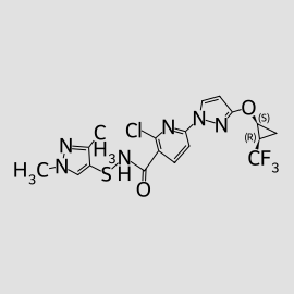 Cc1nn(C)cc1SNC(=O)c1ccc(-n2ccc(O[C@H]3C[C@H]3C(F)(F)F)n2)nc1Cl